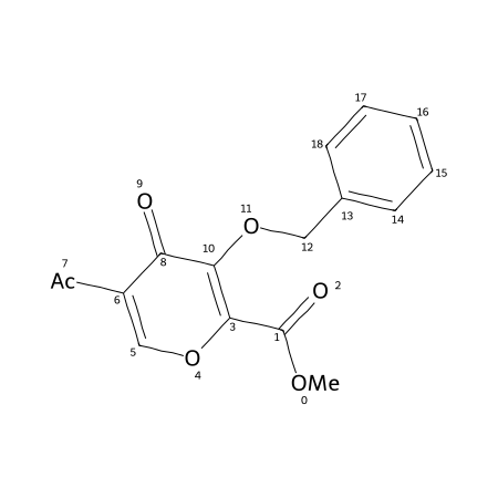 COC(=O)c1occ(C(C)=O)c(=O)c1OCc1ccccc1